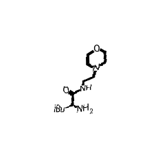 CC[C@H](C)[C@H](N)C(=O)NCCN1CCOCC1